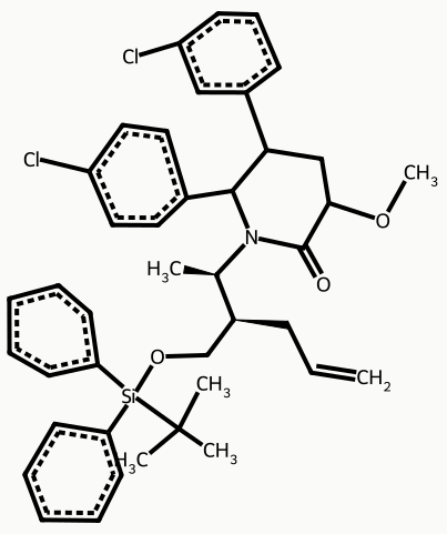 C=CC[C@@H](CO[Si](c1ccccc1)(c1ccccc1)C(C)(C)C)[C@@H](C)N1C(=O)C(OC)CC(c2cccc(Cl)c2)C1c1ccc(Cl)cc1